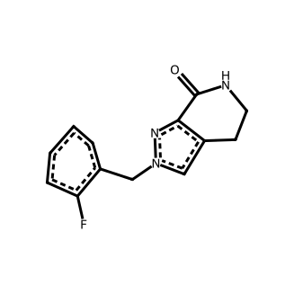 O=C1NCCc2cn(Cc3ccccc3F)nc21